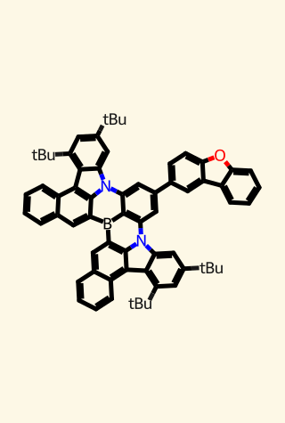 CC(C)(C)c1cc(C(C)(C)C)c2c3c4ccccc4cc4c3n(c2c1)-c1cc(-c2ccc3oc5ccccc5c3c2)cc2c1B4c1cc3ccccc3c3c4c(C(C)(C)C)cc(C(C)(C)C)cc4n-2c13